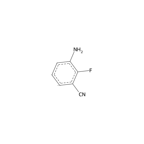 N#Cc1[c]ccc(N)c1F